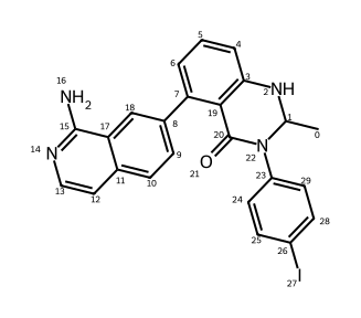 CC1Nc2cccc(-c3ccc4ccnc(N)c4c3)c2C(=O)N1c1ccc(I)cc1